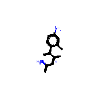 C=C(N)/C=C(/C)C(=C)c1ccc(N)cc1C